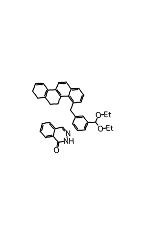 CCOC(OCC)c1cccc(Cc2cccc3ccc4c(c23)CCC2=C4C=CCC2)c1.O=c1[nH]ncc2ccccc12